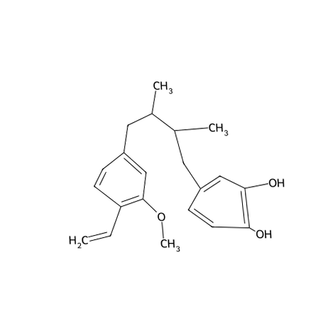 C=Cc1ccc(CC(C)C(C)Cc2ccc(O)c(O)c2)cc1OC